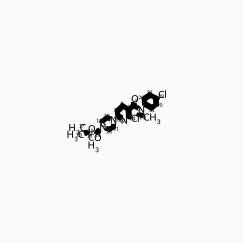 CCN(C(=O)c1ccc(N2CCN(C(=O)OC(C)(C)C)CC2)nc1Cl)c1ccc(Cl)cc1